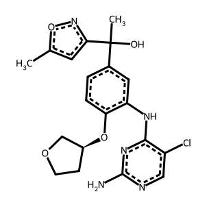 Cc1cc(C(C)(O)c2ccc(O[C@H]3CCOC3)c(Nc3nc(N)ncc3Cl)c2)no1